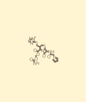 CCCC(=O)OCOC(=O)C1=C(CSc2nnnn2C)CSC2C(NC(=O)Cn3cccc3)C(=O)N12